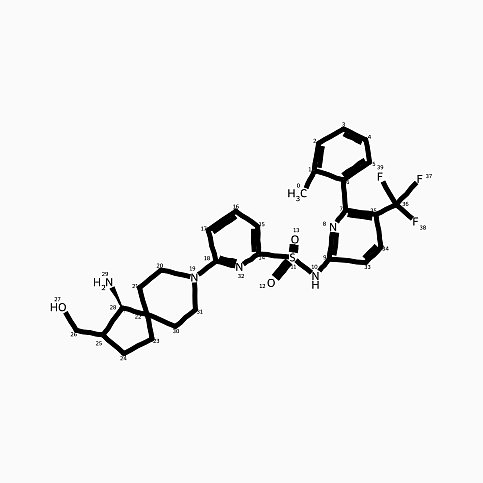 Cc1ccccc1-c1nc(NS(=O)(=O)c2cccc(N3CCC4(CCC(CO)[C@H]4N)CC3)n2)ccc1C(F)(F)F